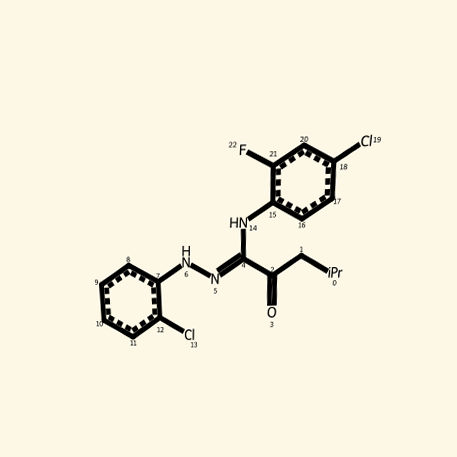 CC(C)CC(=O)/C(=N/Nc1ccccc1Cl)Nc1ccc(Cl)cc1F